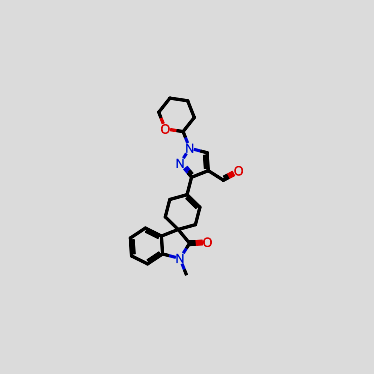 CN1C(=O)C2(CC=C(c3nn(C4CCCCO4)cc3C=O)CC2)c2ccccc21